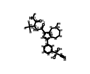 CNC(=O)[C@@H](NC(=O)c1nc(-c2cccc(S(=O)(=O)C#N)c2)n2c1CN(C)CCC2)C(C)(C)C